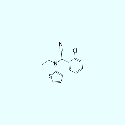 CCN(c1cccs1)C(C#N)c1ccccc1Cl